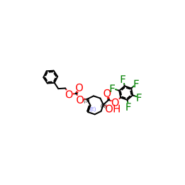 O=C(OCCc1ccccc1)O[C@@H]1/C=C/CC[C@](O)(C(=O)Oc2c(F)c(F)c(F)c(F)c2F)CC1